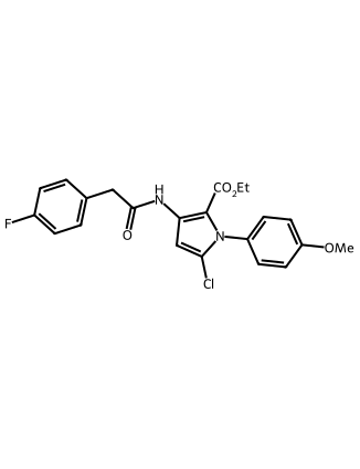 CCOC(=O)c1c(NC(=O)Cc2ccc(F)cc2)cc(Cl)n1-c1ccc(OC)cc1